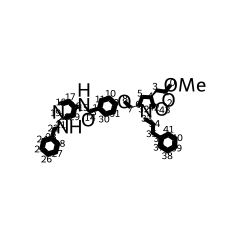 COC(=O)C[C@@H]1C[C@@H](COc2ccc(C(=O)Nc3ccnc(NCc4ccccc4)c3)cc2)N(CCCc2ccccc2)C1=O